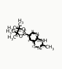 CC1=NSc2cc(B3OC(C)(C)C(C)(C)O3)cnc2N1